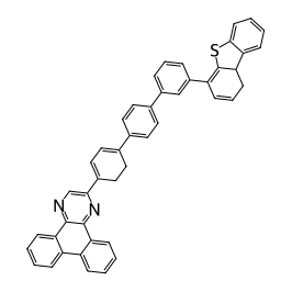 C1=CC(c2cccc(-c3ccc(C4=CC=C(c5cnc6c7ccccc7c7ccccc7c6n5)CC4)cc3)c2)=C2Sc3ccccc3C2C1